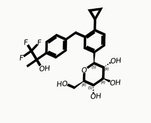 CC(O)(c1ccc(Cc2cc([C@@H]3O[C@H](CO)[C@@H](O)[C@H](O)[C@H]3O)ccc2C2CC2)cc1)C(F)(F)F